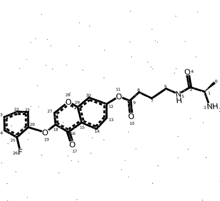 C[C@@H](N)C(=O)NCCCC(=O)Oc1ccc2c(=O)c(Oc3ccccc3F)coc2c1